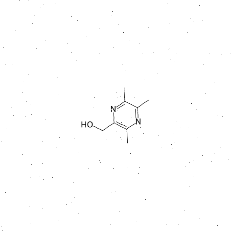 Cc1nc(C)c(CO)nc1C